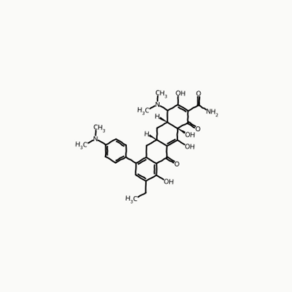 CCc1cc(-c2ccc(N(C)C)cc2)c2c(c1O)C(=O)C1=C(O)[C@@]3(O)C(=O)C(C(N)=O)=C(O)C(N(C)C)[C@H]3C[C@H]1C2